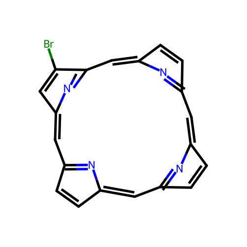 BrC1=CC2=CC3=NC(=CC4=NC(=CC5=NC(=CC1=N2)C=C5)C=C4)C=C3